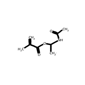 [CH2]C(NC(C)=O)OC(=O)C(=C)C